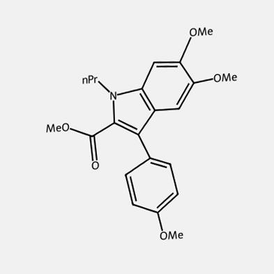 CCCn1c(C(=O)OC)c(-c2ccc(OC)cc2)c2cc(OC)c(OC)cc21